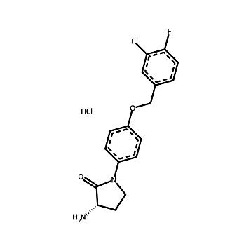 Cl.N[C@H]1CCN(c2ccc(OCc3ccc(F)c(F)c3)cc2)C1=O